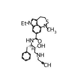 C#CCNC[C@@H](O)[C@H](Cc1ccccc1)NC(=O)c1cc2c3c(cn(CC)c3c1)CCSN2C